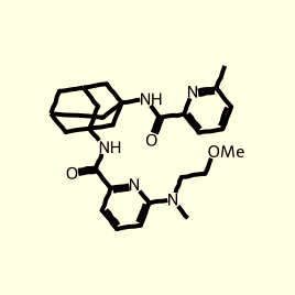 COCCN(C)c1cccc(C(=O)NC23CC4CC(CC(NC(=O)c5cccc(C)n5)(C4)C2)C3)n1